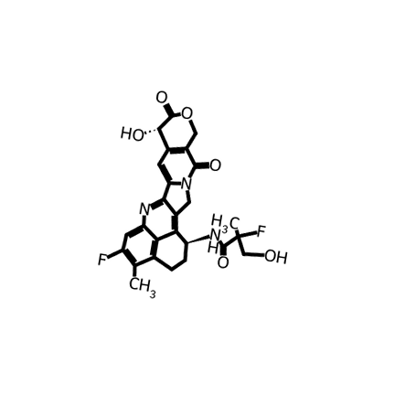 Cc1c(F)cc2nc3c(c4c2c1CC[C@@H]4NC(=O)C(C)(F)CO)Cn1c-3cc2c(c1=O)COC(=O)[C@H]2O